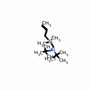 CC=CC[Si](C)(C)CN(C(C)(C)C)C(C)(C)C